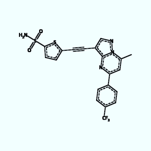 Cc1cc(-c2ccc(C(F)(F)F)cc2)nc2c(C#Cc3ccc(S(N)(=O)=O)s3)cnn12